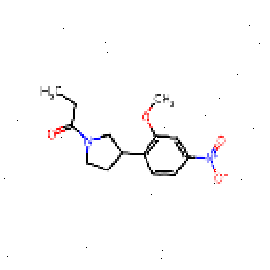 CCC(=O)N1CCC(c2ccc([N+](=O)[O-])cc2OC)C1